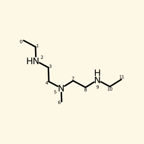 CCNCCN(C)CCNCC